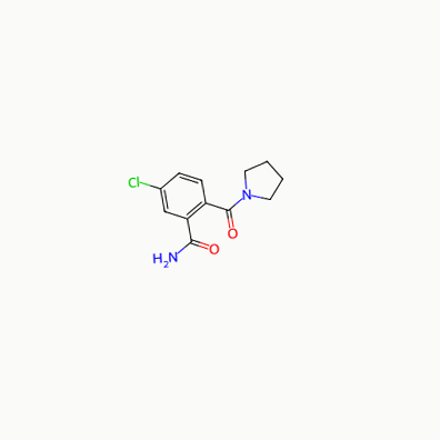 NC(=O)c1cc(Cl)ccc1C(=O)N1CCCC1